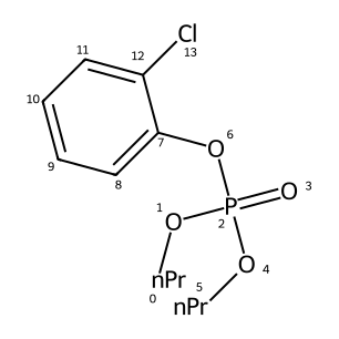 CCCOP(=O)(OCCC)Oc1ccccc1Cl